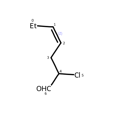 CC/C=C\CC(Cl)C=O